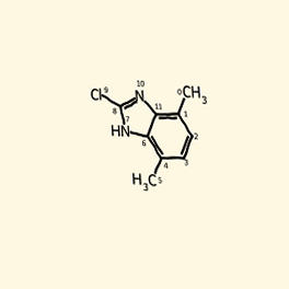 Cc1ccc(C)c2[nH]c(Cl)nc12